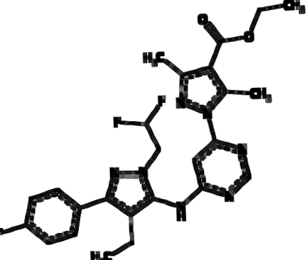 CCOC(=O)c1c(C)nn(-c2cc(Nc3c(CC)c(-c4ccc(F)cc4)nn3CC(F)F)ncn2)c1C